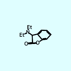 CCN(CC)C1C(=O)Oc2ccccc21